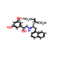 C[C@@H](Cc1cccc2ccccc12)NC[C@@H](O)c1cc(O)cc(O)c1.O=C(O)C=CC(=O)O